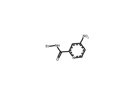 CCNC(=O)c1cc([N+](=O)[O-])ccn1